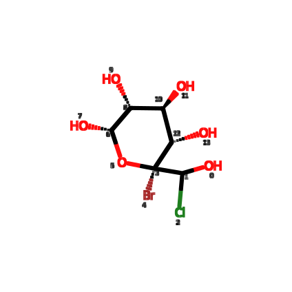 OC(Cl)[C@@]1(Br)O[C@H](O)[C@H](O)[C@@H](O)[C@@H]1O